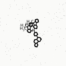 CC1(C)c2ccccc2-c2ccc(N(c3ccc(-c4cccc5c4ccc4ccccc45)cc3)c3cccc4c3-c3ccccc3C4(C)C)cc21